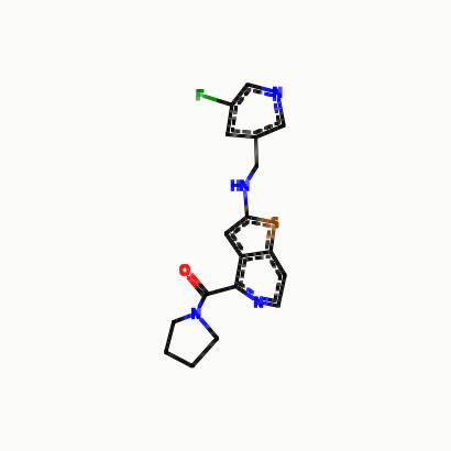 O=C(c1nccc2sc(NCc3cncc(F)c3)cc12)N1CCCC1